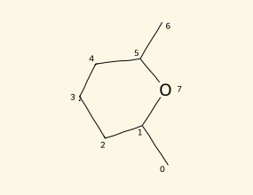 CC1C[CH]CC(C)O1